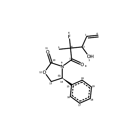 C=CC(O)C(C)(F)C(=O)N1C(=O)OC[C@@H]1c1ccccc1